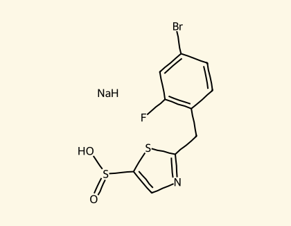 O=S(O)c1cnc(Cc2ccc(Br)cc2F)s1.[NaH]